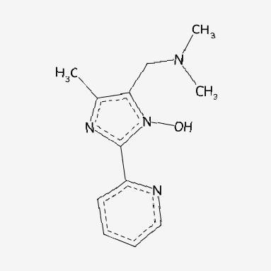 Cc1nc(-c2ccccn2)n(O)c1CN(C)C